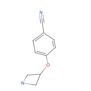 N#Cc1ccc(OC2C[N]C2)cc1